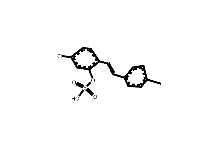 Cc1ccc(C=Cc2ccc(Cl)cc2OS(=O)(=O)O)cc1